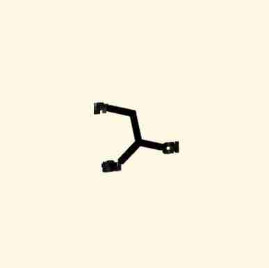 CC(C)CC(C#N)C(C)(C)C